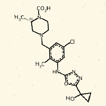 Cc1c(CN2CCN(C(=O)O)[C@@H](C)C2)cc(Cl)cc1Nc1nnc(C2(O)CC2)o1